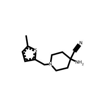 Cc1ccc(CN2CCC(N)(C#N)CC2)s1